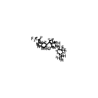 [2H]C([2H])([2H])N1CC[C@@H](Nc2nc(OC)c3c(-c4ccc5nnn([C@H](C)C(F)(F)F)c5c4)ccn3n2)C(F)(F)C1